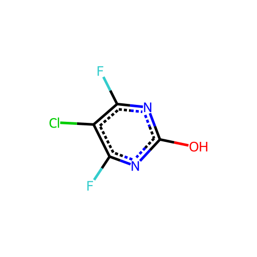 Oc1nc(F)c(Cl)c(F)n1